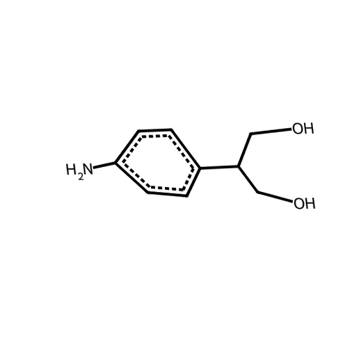 Nc1ccc(C(CO)CO)cc1